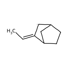 CC=C1[CH]C2CCC1C2